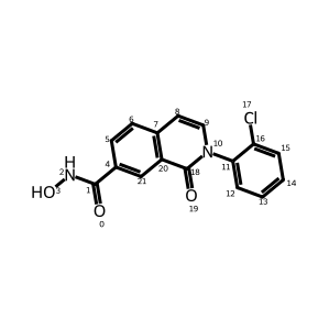 O=C(NO)c1ccc2ccn(-c3ccccc3Cl)c(=O)c2c1